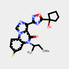 COCC(C)n1c(=O)c2c(-c3noc(C4(O)CCCC4)n3)ncn2c2ccc(F)cc21